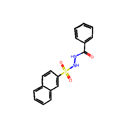 O=C(NNS(=O)(=O)c1ccc2ccccc2c1)c1ccccc1